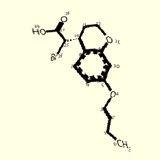 CCCCOc1ccc2c(c1)OCC[C@H]2C(Br)C(=O)O